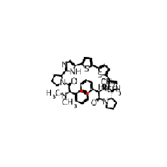 CN(C)[C@@H](C(=O)N1CCCC1c1ncc(-c2ccc(-c3ccc(-c4cnc([C@@H]5CCCN5C(=O)[C@@H](c5ccccc5)N(C)C)[nH]4)s3)s2)[nH]1)c1ccccc1